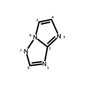 C1=Nc2nccn2[N]1